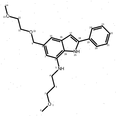 COCCCNc1cc(COCCOC)cc2cc(-c3ccccc3)[nH]c12